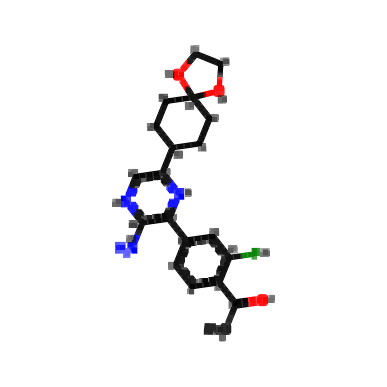 COC(=O)c1ccc(-c2nc(C3CCC4(CC3)OCCO4)cnc2N)cc1F